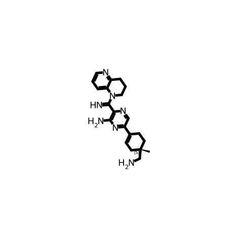 C[C@@]1(CN)CC=C(c2cnc(C(=N)N3CCCc4ncccc43)c(N)n2)CC1